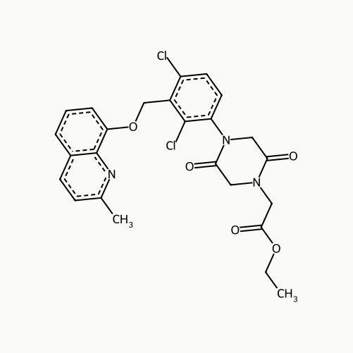 CCOC(=O)CN1CC(=O)N(c2ccc(Cl)c(COc3cccc4ccc(C)nc34)c2Cl)CC1=O